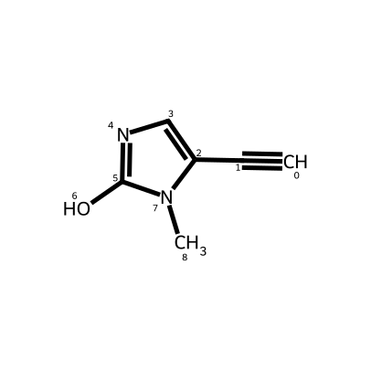 C#Cc1cnc(O)n1C